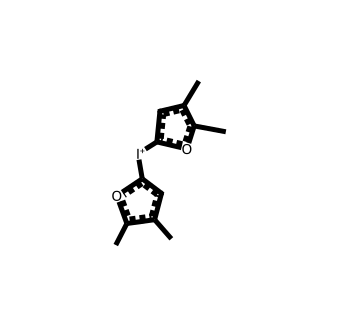 Cc1cc([I+]c2cc(C)c(C)o2)oc1C